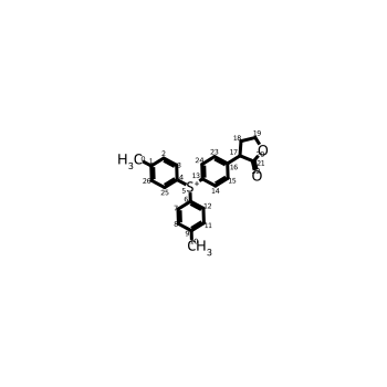 Cc1ccc([S+](c2ccc(C)cc2)c2ccc(C3CCOC3=O)cc2)cc1